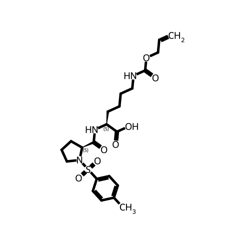 C=CCOC(=O)NCCCC[C@H](NC(=O)[C@@H]1CCCN1S(=O)(=O)c1ccc(C)cc1)C(=O)O